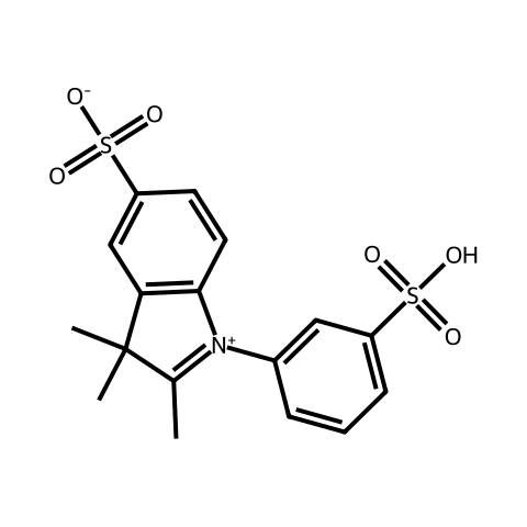 CC1=[N+](c2cccc(S(=O)(=O)O)c2)c2ccc(S(=O)(=O)[O-])cc2C1(C)C